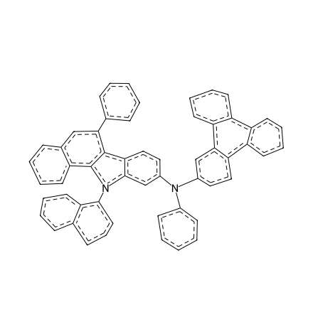 c1ccc(-c2cc3ccccc3c3c2c2ccc(N(c4ccccc4)c4ccc5c6ccccc6c6ccccc6c5c4)cc2n3-c2cccc3ccccc23)cc1